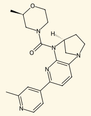 Cc1cc(-c2ccc3c(n2)N(C(=O)N2CCO[C@H](C)C2)[C@H]2CCN3C2)ccn1